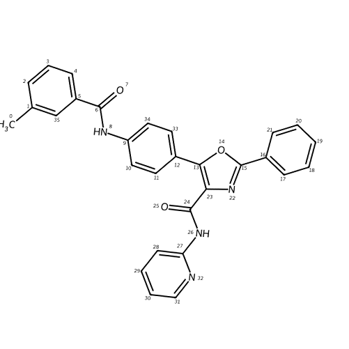 Cc1cccc(C(=O)Nc2ccc(-c3oc(-c4ccccc4)nc3C(=O)Nc3ccccn3)cc2)c1